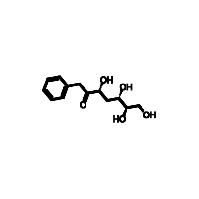 O=C(Cc1ccccc1)[C@H](O)C[C@H](O)[C@H](O)CO